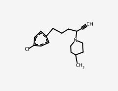 C#CC(CCCc1ccc(Cl)cc1)N1CCC(C)CC1